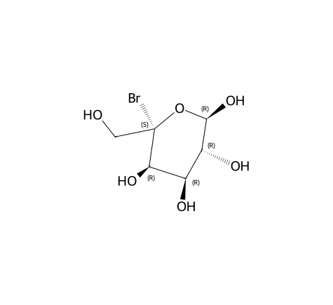 OC[C@@]1(Br)O[C@@H](O)[C@H](O)[C@@H](O)[C@H]1O